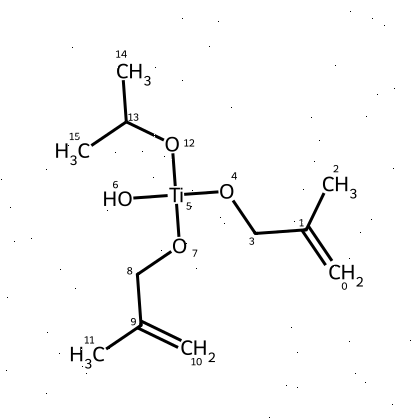 C=C(C)C[O][Ti]([OH])([O]CC(=C)C)[O]C(C)C